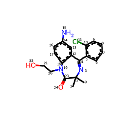 CC1(C)N=C(c2ccccc2Cl)c2cc(N)ccc2N(CCO)C1=O